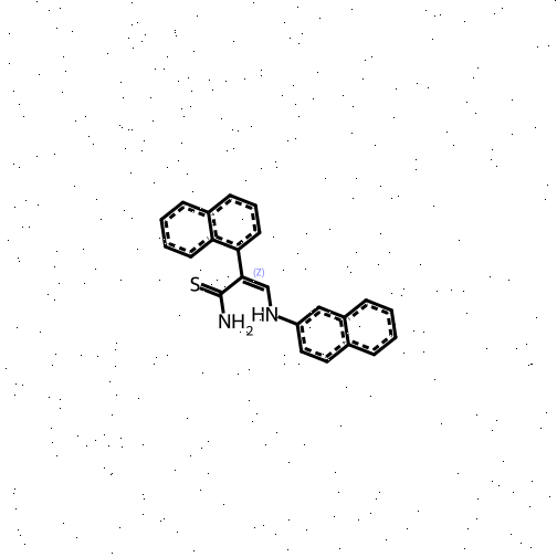 NC(=S)/C(=C\Nc1ccc2ccccc2c1)c1cccc2ccccc12